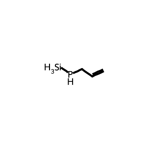 C=CCP[SiH3]